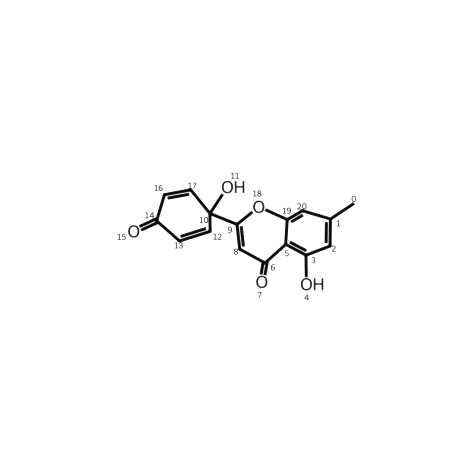 Cc1cc(O)c2c(=O)cc(C3(O)C=CC(=O)C=C3)oc2c1